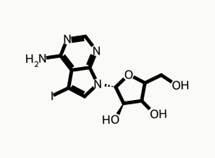 Nc1ncnc2c1c(I)cn2[C@@H]1OC(CO)C(O)[C@H]1O